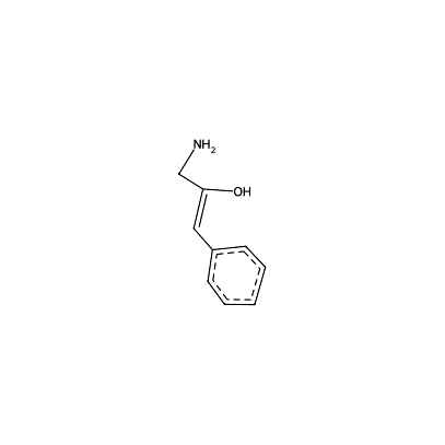 NCC(O)=Cc1ccccc1